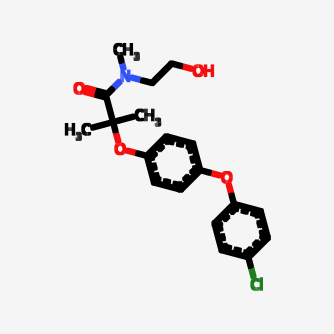 CN(CCO)C(=O)C(C)(C)Oc1ccc(Oc2ccc(Cl)cc2)cc1